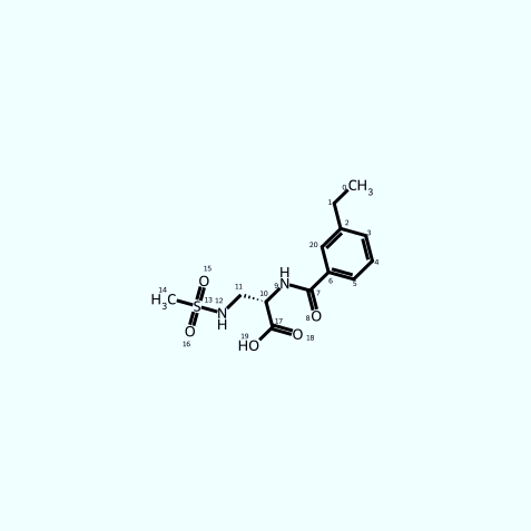 CCc1cccc(C(=O)N[C@@H](CNS(C)(=O)=O)C(=O)O)c1